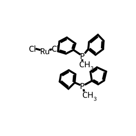 CP(c1ccccc1)c1ccccc1.CP(c1ccccc1)c1ccccc1.[Cl][Ru][Cl]